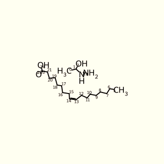 CC(O)NN.CCCCCCCC/C=C\CCCCCCCC(=O)O